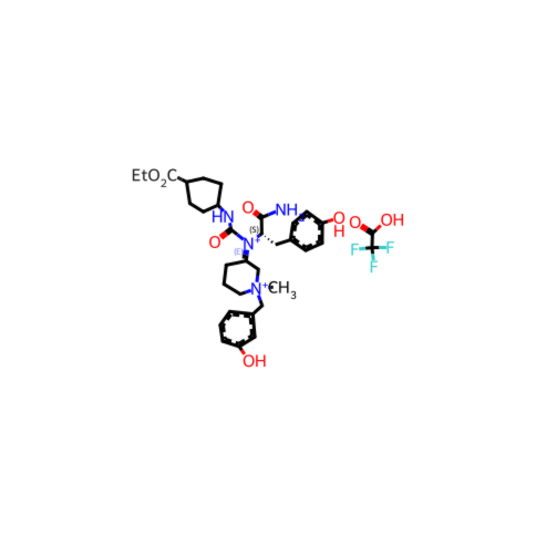 CCOC(=O)C1CCC(NC(=O)/[N+](=C2\CCC[N+](C)(Cc3cccc(O)c3)C2)[C@@H](Cc2ccc(O)cc2)C(N)=O)CC1.O=C(O)C(F)(F)F